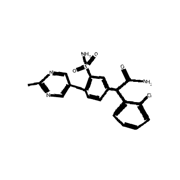 Cc1ncc(-c2ccc(C(C(N)=O)c3ccccc3Cl)cc2S(N)(=O)=O)cn1